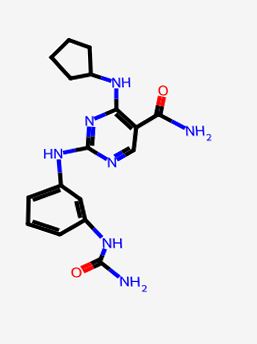 NC(=O)Nc1cccc(Nc2ncc(C(N)=O)c(NC3CCCC3)n2)c1